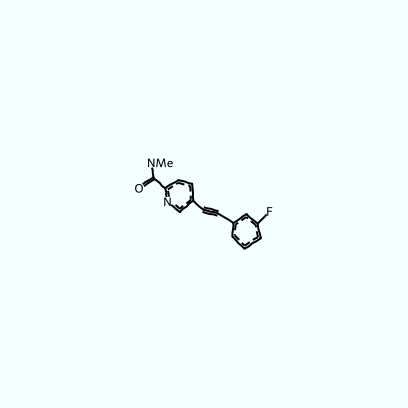 CNC(=O)c1ccc(C#Cc2cccc(F)c2)cn1